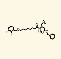 CN(C)C[C@@H](CC(=O)OCc1ccccc1)NC(=O)CCCCCCCOCc1cccc(F)c1F